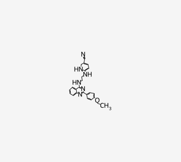 CCOc1ccc(-c2nc(NCCNC3=CC=C(C#N)CN3)c3ccccc3n2)cc1